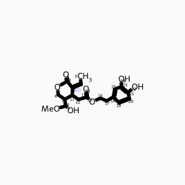 C/C=C1\C(=O)OCC(C(O)OC)C1CC(=O)OCCc1ccc(O)c(O)c1